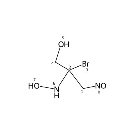 O=NCC(Br)(CO)NO